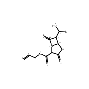 C=CCOC(=O)C1C(=O)CC2C(C(C)O)C(=O)N12